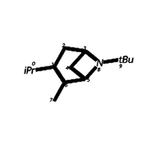 CC(C)C1CC2CC(C1C)N2C(C)(C)C